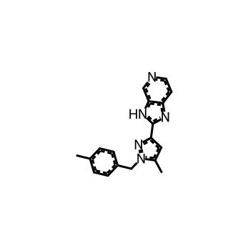 Cc1ccc(Cn2nc(-c3nc4ccncc4[nH]3)cc2C)cc1